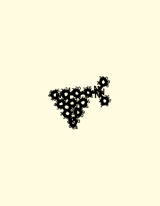 c1ccc(-c2nc(-c3ccccc3)nc(-c3ccc(-c4ccc(-c5ccccc5-c5cc(-c6ccccc6-c6ccc(-c7ccccn7)cc6)cc(-c6ccccc6-c6ccc(-c7ccccn7)cc6)c5)cc4)cc3)n2)cc1